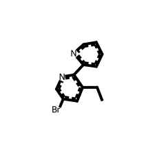 CCc1cc(Br)cnc1-c1ccccn1